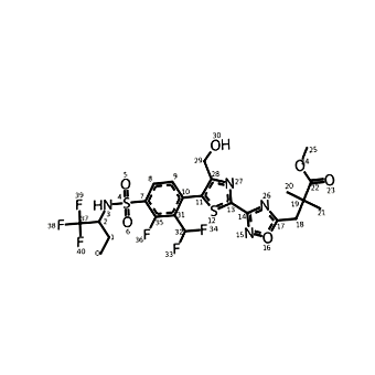 CCC(NS(=O)(=O)c1ccc(-c2sc(-c3noc(CC(C)(C)C(=O)OC)n3)nc2CO)c(C(F)F)c1F)C(F)(F)F